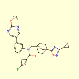 COc1ncc(-c2cccc(N(CC34CCC(c5nc(C6CC6)no5)(CC3)CC4)C(=O)C34CC(F)(C3)C4)c2)cn1